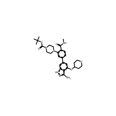 CNC(=O)c1ccc(-c2cc(OC3CCOCC3)c3c(N)n[nH]c3c2)cc1N1CCN(C(=O)OC(C)(C)C)CC1